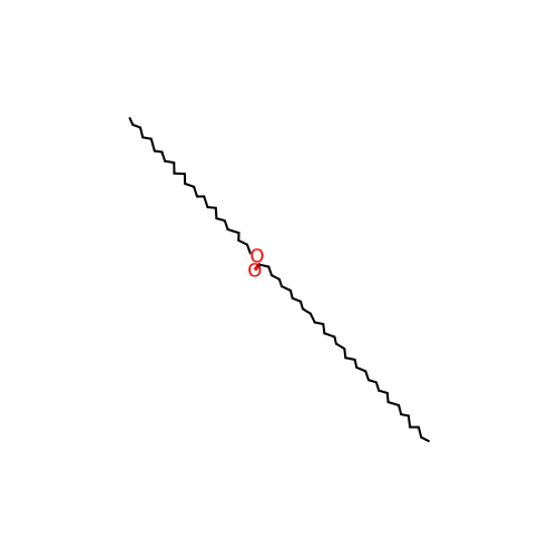 CCCCCCCCCCCCCCCCCCCCCCCCCCCCCCCC(=O)OCCCCCCCCCCCCCCCCCCCCCCCC